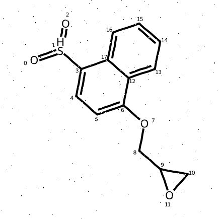 O=[SH](=O)c1ccc(OCC2CO2)c2ccccc12